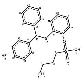 CCCCS(=O)(=O)O.F.c1ccc(SC(c2ccccc2)c2ccccc2)cc1